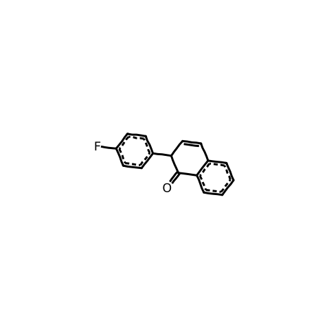 O=C1c2ccccc2C=CC1c1ccc(F)cc1